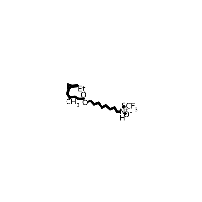 CC/C=C1/C/C1=C/C(C)CCC(=O)OCCCCCCCC[NH+]([O-])SC(F)(F)F